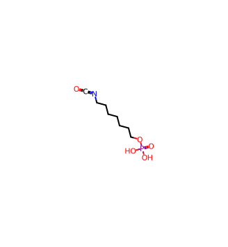 O=C=NCCCCCCCOP(=O)(O)O